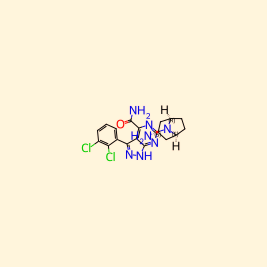 NC(=O)c1nc(N2[C@@H]3CC[C@H]2C[C@H](N)C3)nc2[nH]nc(-c3cccc(Cl)c3Cl)c12